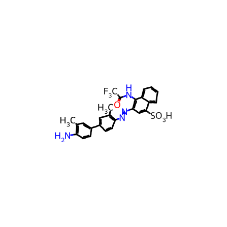 Cc1cc(-c2ccc(/N=N/c3cc(S(=O)(=O)O)c4ccccc4c3NC(=O)C(F)(F)F)c(C)c2)ccc1N